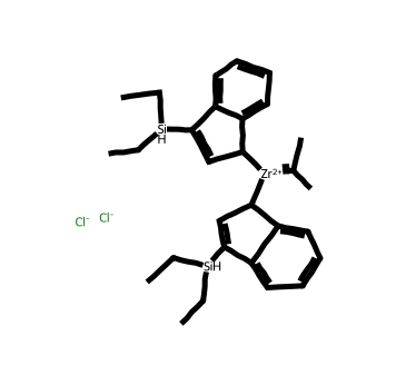 CC[SiH](CC)C1=C[CH]([Zr+2](=[C](C)C)[CH]2C=C([SiH](CC)CC)c3ccccc32)c2ccccc21.[Cl-].[Cl-]